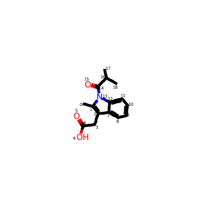 Cc1c(CC(=O)O)c2ccccc2n1C(=O)C(C)C